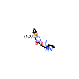 Cc1cc(C)c(S(=O)(=O)NC(CNC(=O)C2=NOC(CCCc3nc4ncccc4[nH]3)C2)C(=O)O)c(C)c1